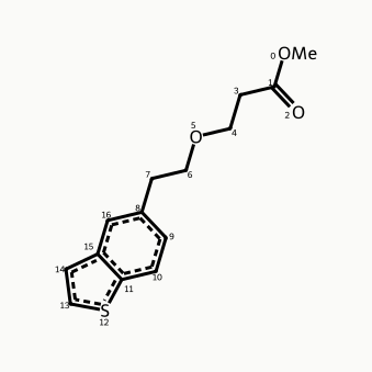 COC(=O)CCOCCc1ccc2sccc2c1